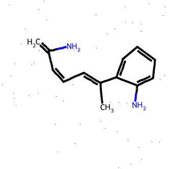 C=C(N)/C=C\C=C(/C)c1ccccc1N